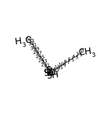 CCCCCCCCCCCCCCCOP(=S)(S)SCCCCCCCCCCCCCCC